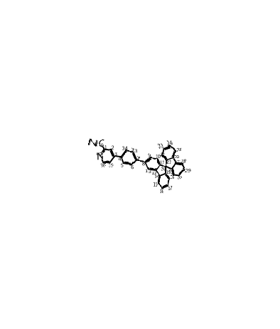 N#Cc1cc(-c2ccc(-c3ccc4c(c3)-c3ccccc3C43c4ccccc4-c4ccccc43)cc2)ccn1